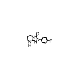 O=c1n(-c2ccc(F)cc2)nc2n1CCCN2